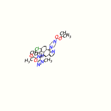 COC(C)(C)C(=O)N[C@H](C1=Cc2cccnc2[C@@H](N2CCN(C(=O)OC(C)C)CC2)C2C=CC(Cl)=CC12)c1cncn1C